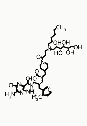 CCCCCCN(CCC(=O)N1CCC(CN(C[C@H](CNC(=O)c2nc(Cl)c(N)nc2N)Cc2ccccc2C)C(=O)O)CC1)C[C@H](O)[C@@H](O)[C@H](O)[C@H](O)CO